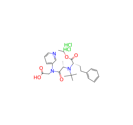 CCOC(=O)[C@H](CCc1ccccc1)N([C@@H](C)C(=O)N(CC(=O)O)c1cccnc1)C(C)(C)C.Cl.Cl